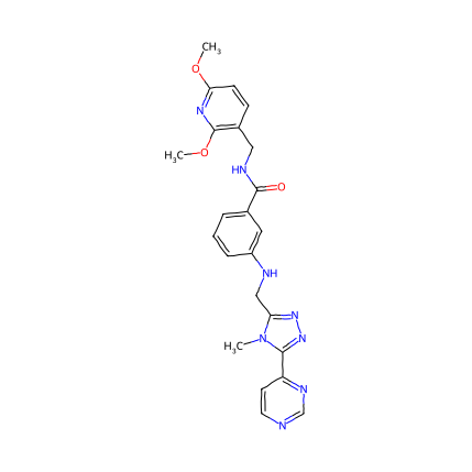 COc1ccc(CNC(=O)c2cccc(NCc3nnc(-c4ccncn4)n3C)c2)c(OC)n1